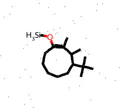 CC1=C(O[SiH3])CCCCCC(C(C)(C)C)C1C